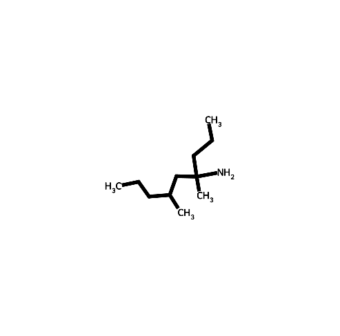 CCCC(C)CC(C)(N)CCC